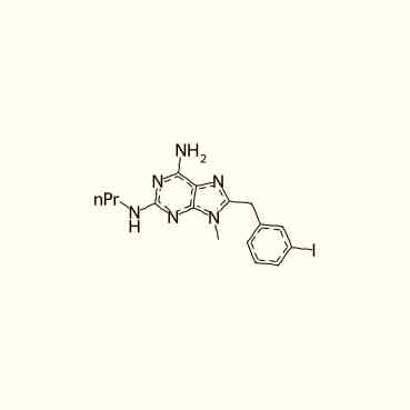 CCCNc1nc(N)c2nc(Cc3cccc(I)c3)n(C)c2n1